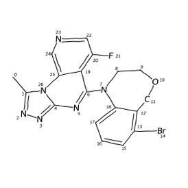 Cc1nnc2nc(N3CCOCc4c(Br)cccc43)c3c(F)cncc3n12